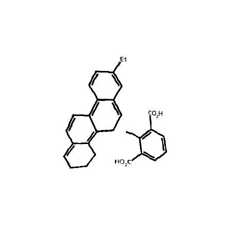 CCc1ccc2c(c1)=CCc1c3c(ccc1=2)=CCCC3.Cc1c(C(=O)O)cccc1C(=O)O